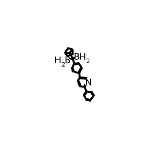 BC(B)(c1ccc(-c2ccc(-c3ccccc3)nc2)cc1)C1C2CCC1C2